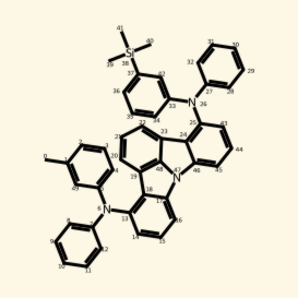 Cc1cccc(N(c2ccccc2)c2cccc3c2c2cccc4c5c(N(c6ccccc6)c6cccc([Si](C)(C)C)c6)cccc5n3c24)c1